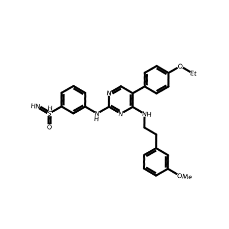 CCOc1ccc(-c2cnc(Nc3cccc([SH](=N)=O)c3)nc2NCCc2cccc(OC)c2)cc1